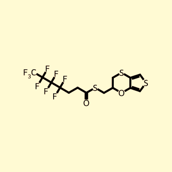 O=C(CCC(F)(F)C(F)(F)C(F)(F)C(F)(F)F)SCC1CSc2cscc2O1